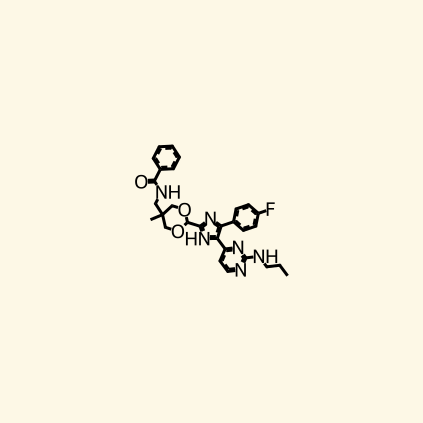 CCCNc1nccc(-c2[nH]c(C3OCC(C)(CNC(=O)c4ccccc4)CO3)nc2-c2ccc(F)cc2)n1